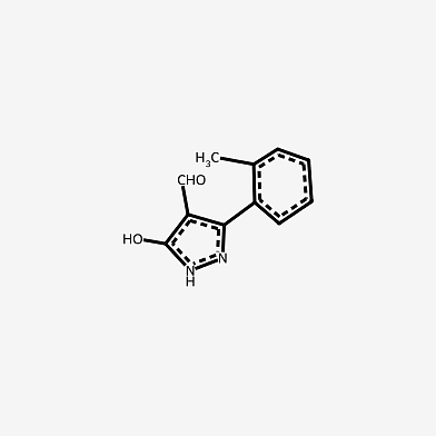 Cc1ccccc1-c1n[nH]c(O)c1C=O